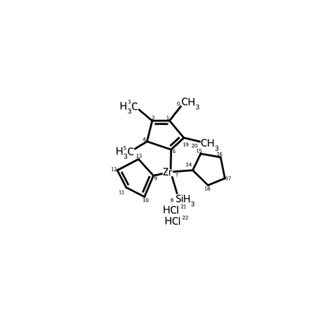 CC1=C(C)C(C)[C]([Zr]([SiH3])([C]2=CC=CC2)[CH]2CCCC2)=C1C.Cl.Cl